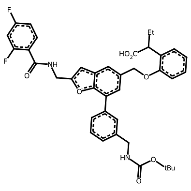 CCC(C(=O)O)c1ccccc1OCc1cc(-c2cccc(CNC(=O)OC(C)(C)C)c2)c2oc(CNC(=O)c3ccc(F)cc3F)cc2c1